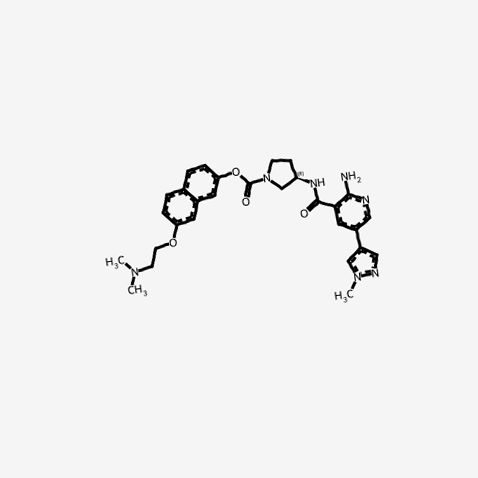 CN(C)CCOc1ccc2ccc(OC(=O)N3CC[C@@H](NC(=O)c4cc(-c5cnn(C)c5)cnc4N)C3)cc2c1